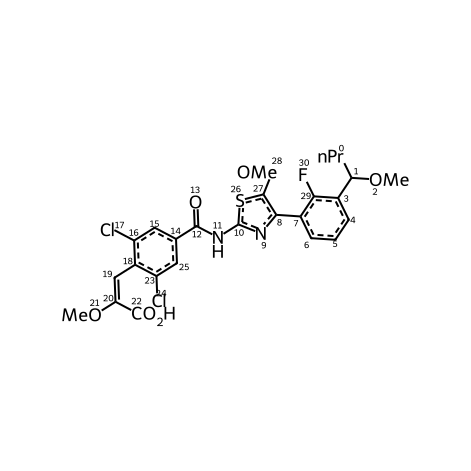 CCCC(OC)c1cccc(-c2nc(NC(=O)c3cc(Cl)c(/C=C(/OC)C(=O)O)c(Cl)c3)sc2OC)c1F